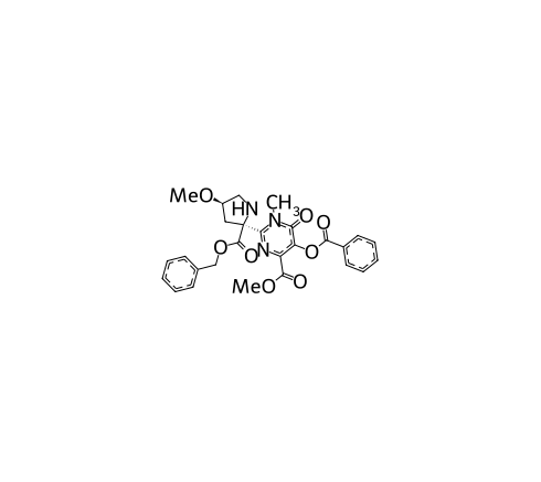 COC(=O)c1nc([C@]2(C(=O)OCc3ccccc3)C[C@@H](OC)CN2)n(C)c(=O)c1OC(=O)c1ccccc1